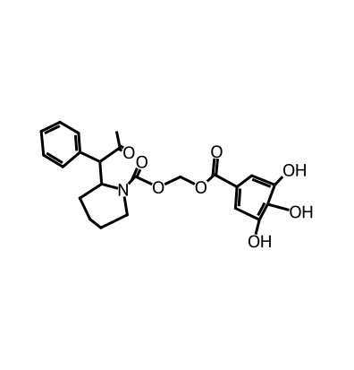 CC(=O)C(c1ccccc1)C1CCCCN1C(=O)OCOC(=O)c1cc(O)c(O)c(O)c1